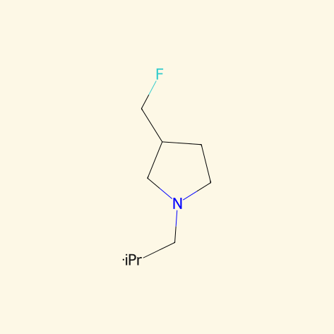 C[C](C)CN1CCC(CF)C1